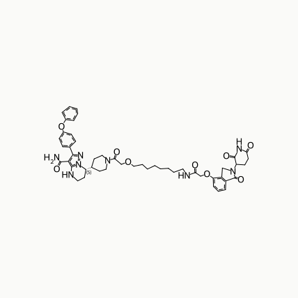 NC(=O)c1c(-c2ccc(Oc3ccccc3)cc2)nn2c1NCC[C@H]2C1CCN(C(=O)COCCCCCCCCNC(=O)COc2cccc3c2CN(C2CCC(=O)NC2=O)C3=O)CC1